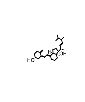 C=C1CC[C@H](O)C/C1=C/C=C1\CCC[C@@]2(C)[C@H]1CC[C@]2(O)[C@H](C)/C=C/[C@H](C)C(C)C